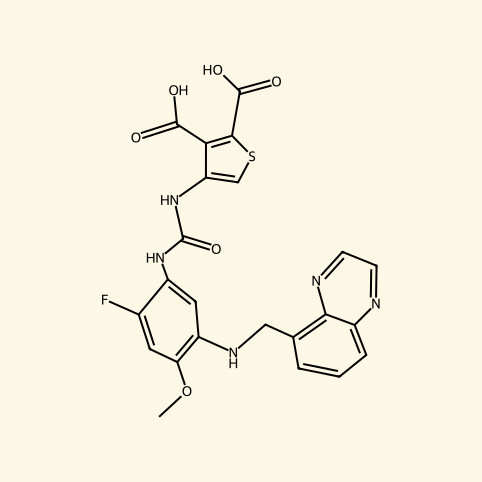 COc1cc(F)c(NC(=O)Nc2csc(C(=O)O)c2C(=O)O)cc1NCc1cccc2nccnc12